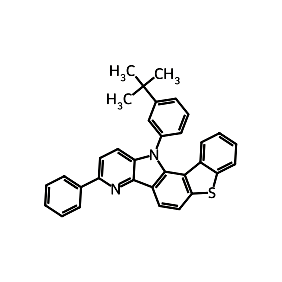 CC(C)(C)c1cccc(-n2c3ccc(-c4ccccc4)nc3c3ccc4sc5ccccc5c4c32)c1